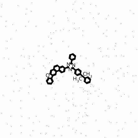 CC(C)(c1ccccc1)c1ccc(-c2nc(-c3ccccc3)nc(-c3ccc4c(ccc5cc6oc7ccccc7c6cc54)c3)n2)cc1